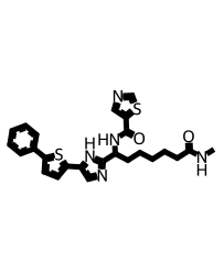 CNC(=O)CCCCCC(NC(=O)c1cncs1)c1ncc(-c2ccc(-c3ccccc3)s2)[nH]1